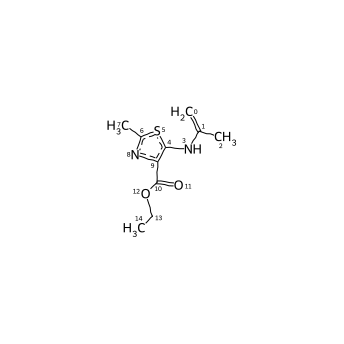 C=C(C)Nc1sc(C)nc1C(=O)OCC